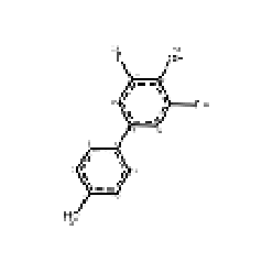 Oc1ccc(-c2cc(F)c(O)c(F)c2)cc1